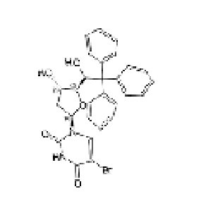 O=c1[nH]c(=O)n([C@H]2C[C@H](O)[C@@H](C(O)C(c3ccccc3)(c3ccccc3)c3ccccc3)O2)cc1Br